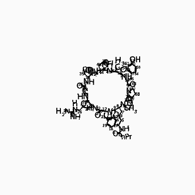 CCCC(=O)NCCCC[C@H]1C(=O)N[C@@H](Cc2ccccc2)C(=O)N[C@@H](CCCNC(=N)N)C(=O)NCC(=O)N[C@@H](CC(=O)O)C(=O)N[C@@H](CC(C)C)C(=O)N[C@@H](C)C(=O)N[C@@H](Cc2ccc(O)cc2)C(=O)N2CCC[C@@H]2C(=O)N1C